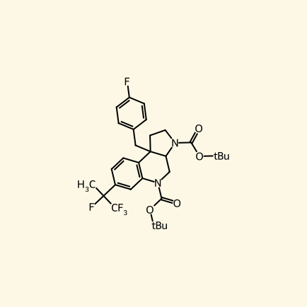 CC(C)(C)OC(=O)N1CC2N(C(=O)OC(C)(C)C)CCC2(Cc2ccc(F)cc2)c2ccc(C(C)(F)C(F)(F)F)cc21